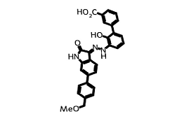 COCc1ccc(-c2ccc3c(c2)NC(=O)C3=NNc2cccc(-c3cccc(C(=O)O)c3)c2O)cc1